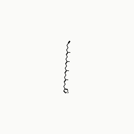 C#CCCC/C(C)=C/CC/C(C)=C/CC/C(C)=C/CC/C(C)=C/CCc1ccsc1